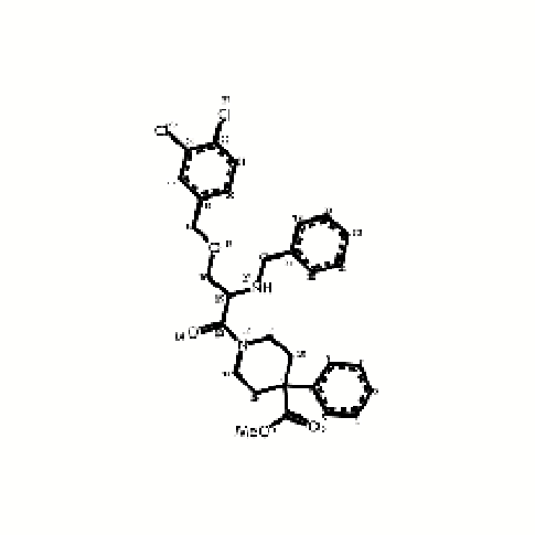 COC(=O)C1(c2ccccc2)CCN(C(=O)C(COCc2ccc(Cl)c(Cl)c2)NCc2ccccc2)CC1